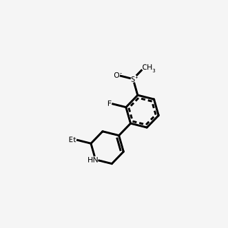 CCC1CC(c2cccc([S+](C)[O-])c2F)=CCN1